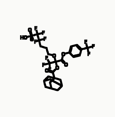 O=C(OC(OCCCC(F)(F)C(F)(F)S(=O)(=O)O)(C(=O)Oc1ccc(C(F)(F)F)cc1)C(F)(F)F)C12CC3CC(CC(C3)C1)C2